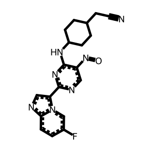 N#CCC1CCC(Nc2nc(-c3cnc4ccc(F)cn34)ncc2N=O)CC1